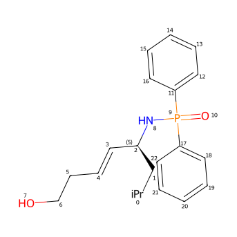 CC(C)C[C@@H](C=CCCO)NP(=O)(c1ccccc1)c1ccccc1